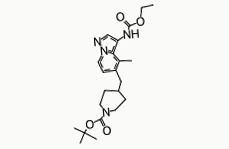 CCOC(=O)Nc1cnn2ccc(CC3CCN(C(=O)OC(C)(C)C)CC3)c(C)c12